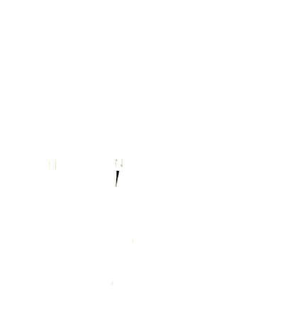 C[C@@H]1OC(O)CC[C@H]1N(CC1c2ccccc2-c2ccccc21)C(=O)O